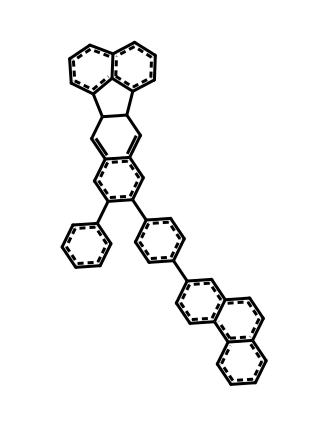 C1=c2cc(-c3ccccc3)c(-c3ccc(-c4ccc5c(ccc6ccccc65)c4)cc3)cc2=CC2c3cccc4cccc(c34)C12